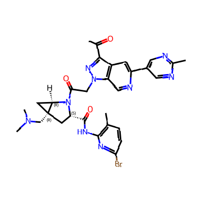 CC(=O)c1nn(CC(=O)N2[C@H](C(=O)Nc3nc(Br)ccc3C)C[C@@]3(CN(C)C)C[C@@H]23)c2cnc(-c3cnc(C)nc3)cc12